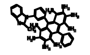 Bc1c(B)c(B)c2c(-c3cccc(-n4c(C)nc5ccccc54)c3)c3c(B)c(B)c(B)c(B)c3c(-c3ccccc3)c2c1B